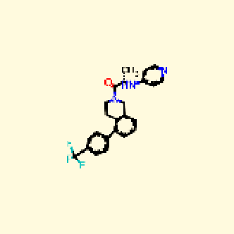 C[C@H](Nc1ccncc1)C(=O)N1CCc2c(cccc2-c2ccc(C(F)(F)F)cc2)C1